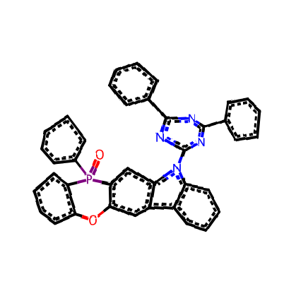 O=P1(c2ccccc2)c2ccccc2Oc2cc3c4ccccc4n(-c4nc(-c5ccccc5)nc(-c5ccccc5)n4)c3cc21